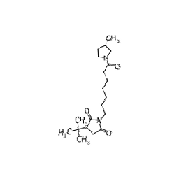 C[C@H]1CCN(C(=O)CCCCCCN2C(=O)CC(C(C)(C)C)C2=O)C1